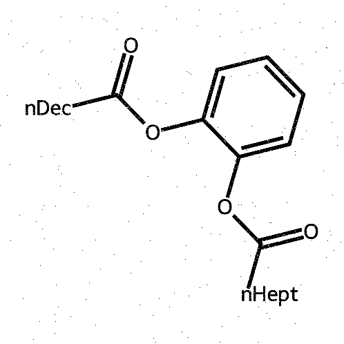 CCCCCCCCCCC(=O)Oc1ccccc1OC(=O)CCCCCCC